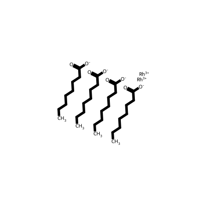 CCCCCCCC(=O)[O-].CCCCCCCC(=O)[O-].CCCCCCCC(=O)[O-].CCCCCCCC(=O)[O-].[Rh+3].[Rh+3]